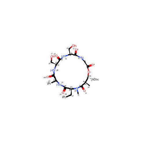 CCCCCCCCCC[C@H]1OC(=O)CNC(=O)[C@H](CO)NC(=O)[C@H](CO)NC(=O)C(C(C)C)NC(=O)[C@H](CC(C)C)N(C)C(=O)[C@@H]1C